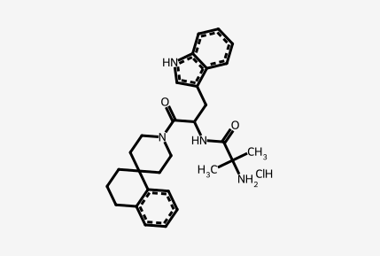 CC(C)(N)C(=O)NC(Cc1c[nH]c2ccccc12)C(=O)N1CCC2(CCCc3ccccc32)CC1.Cl